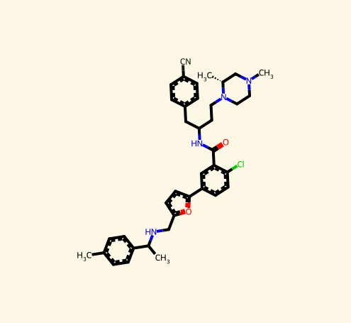 Cc1ccc(C(C)NCc2ccc(-c3ccc(Cl)c(C(=O)NC(CCN4CCN(C)C[C@H]4C)Cc4ccc(C#N)cc4)c3)o2)cc1